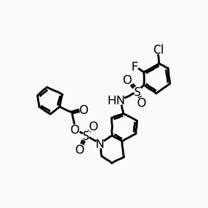 O=C(OS(=O)(=O)N1CCCc2ccc(NS(=O)(=O)c3cccc(Cl)c3F)cc21)c1ccccc1